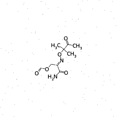 CC(=O)C(C)(C)O/N=C(\COC=O)C(N)=O